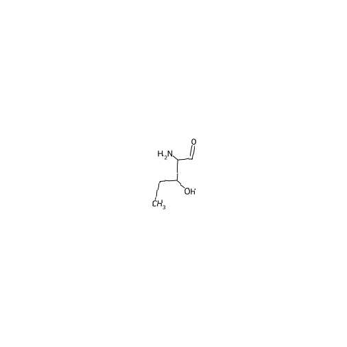 CCC(O)C(N)C=O